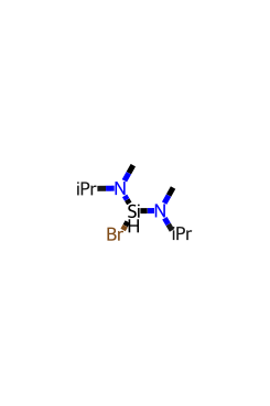 CC(C)N(C)[SiH](Br)N(C)C(C)C